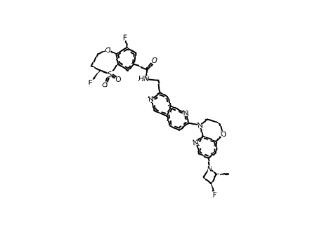 C[C@H]1[C@@H](F)CN1c1cnc2c(c1)OCCN2c1ccc2cnc(CNC(=O)c3cc(F)c4c(c3)S(=O)(=O)[C@@H](F)CCO4)cc2n1